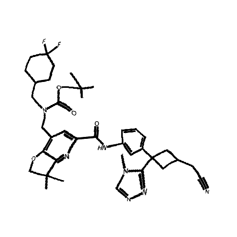 Cn1cnnc1C1(c2cccc(NC(=O)c3cc(CN(CC4CCC(F)(F)CC4)C(=O)OC(C)(C)C)c4c(n3)C(C)(C)CO4)c2)CC(CC#N)C1